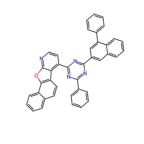 c1ccc(-c2nc(-c3cc(-c4ccccc4)c4ccccc4c3)nc(-c3ccnc4oc5c6ccccc6ccc5c34)n2)cc1